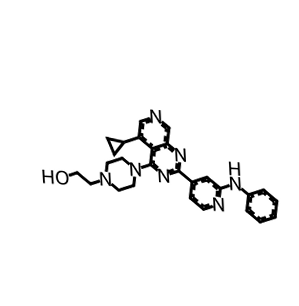 OCCN1CCN(c2nc(-c3ccnc(Nc4ccccc4)c3)nc3cncc(C4CC4)c23)CC1